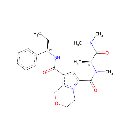 CC[C@@H](NC(=O)c1cc(C(=O)N(C)[C@@H](C)C(=O)N(C)C)n2c1COCC2)c1ccccc1